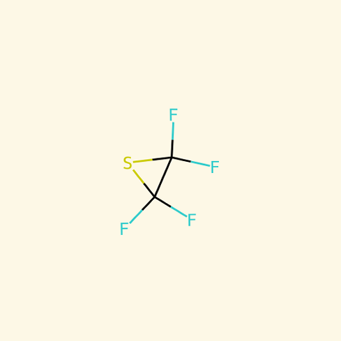 FC1(F)SC1(F)F